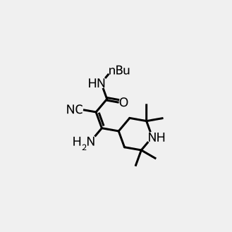 CCCCNC(=O)C(C#N)=C(N)C1CC(C)(C)NC(C)(C)C1